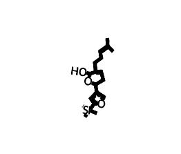 CC(C)=CCCC1=CCC(c2coc([Si](C)(C)C)c2)OC1O